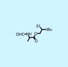 CCCCC(CC)COC(=O)C(C)NC=O